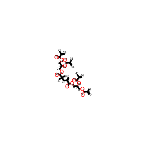 C=C(C)C(=O)OCC(COC(=O)C(=C)CC(C)(C)C(=O)OCC(COC(=O)C(=C)C)OC(=O)C(=C)C)OC(=O)C(=C)C